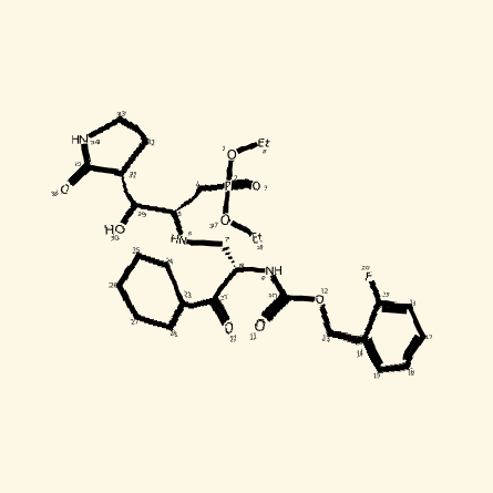 CCOP(=O)(C[C@@H](NC[C@H](NC(=O)OCc1ccccc1F)C(=O)C1CCCCC1)C(O)[C@@H]1CCNC1=O)OCC